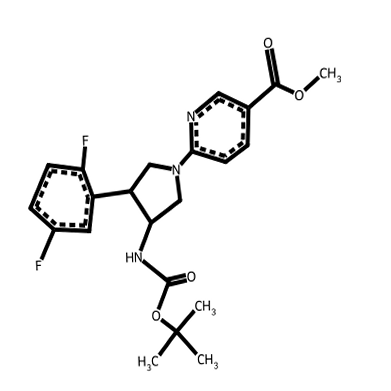 COC(=O)c1ccc(N2CC(NC(=O)OC(C)(C)C)C(c3cc(F)ccc3F)C2)nc1